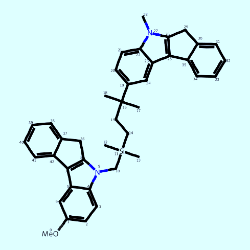 COc1ccc2c(c1)c1c(n2C[Si](C)(C)CCC(C)(C)c2ccc3c(c2)c2c(n3C)Cc3ccccc3-2)Cc2ccccc2-1